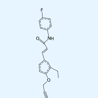 C#CCOc1ccc(/C=C/C(=O)Nc2ccc(F)cc2)cc1CC